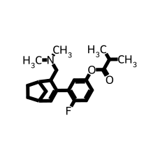 CC(C)C(=O)Oc1ccc(F)c(C2=CC3CCC(C3)C2CN(C)C)c1